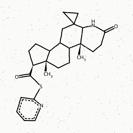 C[C@]12CCC(=O)NC1C1(CC1)CC1C2CC[C@@]2(C)C1CC[C@@H]2C(=O)Sc1ccccn1